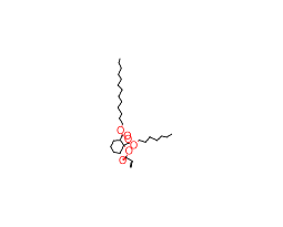 C=CC(=O)OC1(C(=O)OCCCCCCC)CCCCC1C(=O)OCCCCCCCCCCCCC